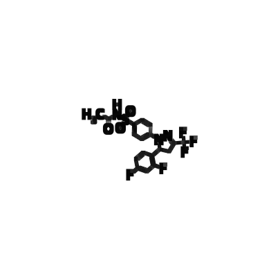 CC(=O)NS(=O)(=O)c1ccc(N2N=C(C(F)(F)F)CC2c2ccc(F)cc2F)cc1